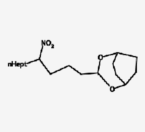 [CH2]CCCCCCC(CCC[C]1OC2CCC(CC2)O1)[N+](=O)[O-]